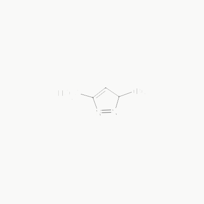 CC(C)(C)C1C=C(C(=O)O)N=N1